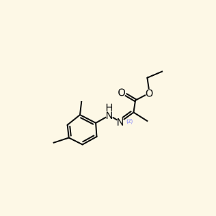 CCOC(=O)/C(C)=N\Nc1ccc(C)cc1C